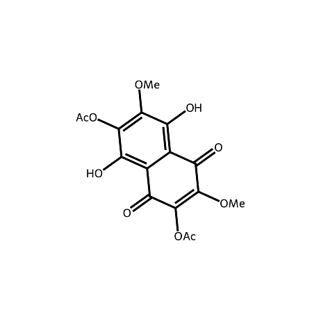 COC1=C(OC(C)=O)C(=O)c2c(O)c(OC(C)=O)c(OC)c(O)c2C1=O